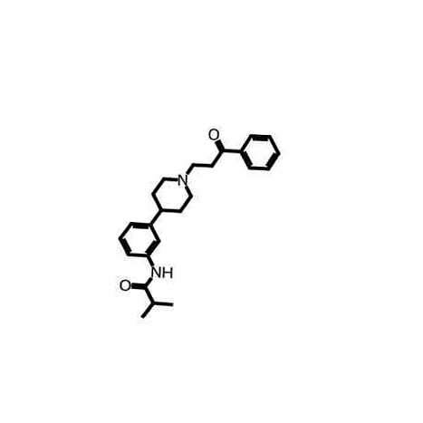 CC(C)C(=O)Nc1cccc(C2CCN(CCC(=O)c3ccccc3)CC2)c1